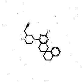 N#CCC1CN(c2nc(Cl)nc3c2CCC2(CCCc4ccccc42)C3)CCN1